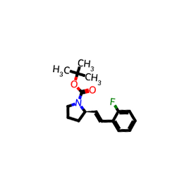 CC(C)(C)OC(=O)N1CCC[C@@H]1/C=C/c1ccccc1F